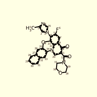 Cc1cn(-c2c(F)cc3c(=O)c(C(=O)N4CCOCC4)cn4c3c2Oc2cc3ccccc3cc2-4)cn1